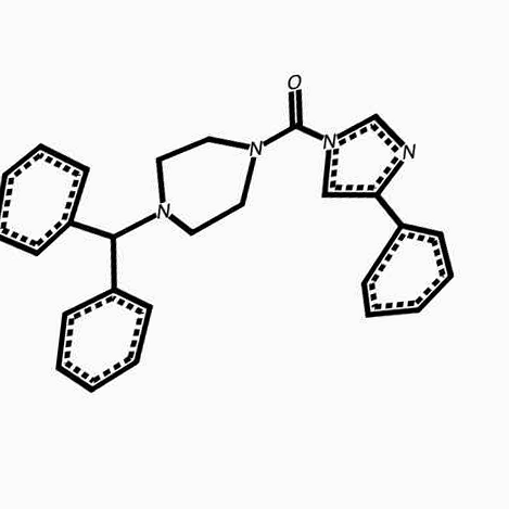 O=C(N1CCN(C(c2ccccc2)c2ccccc2)CC1)n1cnc(-c2ccccc2)c1